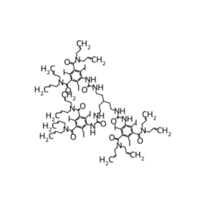 C=CCN(CC=C)C(=O)c1c(I)c(NC(=O)NCCC(CCNC(=O)Nc2c(I)c(C(=O)N(CC=C)CC=C)c(I)c(C(=O)N(CC=C)CC=C)c2I)CCNC(=O)Nc2c(I)c(C(=O)N(CC=C)CC=C)c(I)c(C(=O)N(CC=C)CC=C)c2I)c(I)c(C(=O)N(CC=C)CC=C)c1I